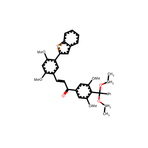 COc1cc(OC)c(-c2cc3ccccc3s2)cc1C=CC(=O)c1cc(OC)c(C(O[SiH2]C)(O[SiH2]C)C(C)C)c(OC)c1